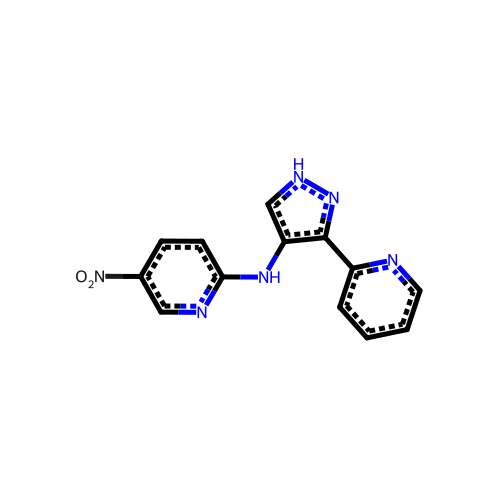 O=[N+]([O-])c1ccc(Nc2c[nH]nc2-c2ccccn2)nc1